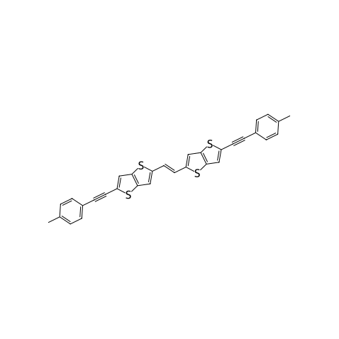 Cc1ccc(C#Cc2cc3sc(/C=C/c4cc5sc(C#Cc6ccc(C)cc6)cc5s4)cc3s2)cc1